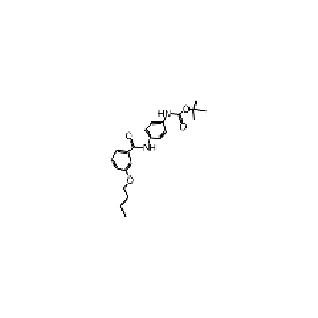 CCCCOc1cccc(C(=O)Nc2ccc(NC(=O)OC(C)(C)C)cc2)c1